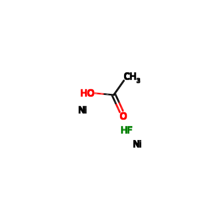 CC(=O)O.F.[Ni].[Ni]